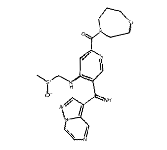 C[S+]([O-])CNc1cc(C(=O)N2CCCOCC2)ncc1C(=N)c1cnn2ccncc12